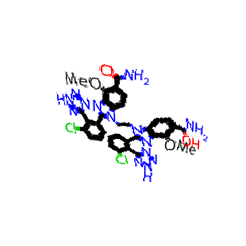 COc1c(C(N)=O)ccc2c1nc(-c1cccc(Cl)c1-c1nn[nH]n1)n2CCn1c(-c2cccc(Cl)c2-c2nn[nH]n2)nc2c(OC)c(C(N)O)ccc21